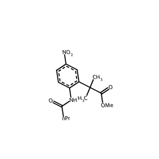 CCCC(=O)Nc1ccc([N+](=O)[O-])cc1C(C)(C)C(=O)OC